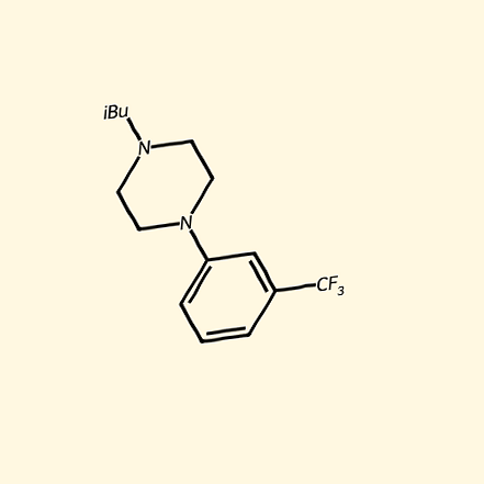 [CH2]CC(C)N1CCN(c2cccc(C(F)(F)F)c2)CC1